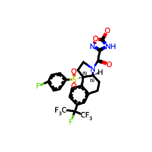 O=C(c1noc(=O)[nH]1)N1CC[C@]2(S(=O)(=O)c3ccc(F)cc3)c3ccc(C(F)(C(F)(F)F)C(F)(F)F)cc3CC[C@H]12